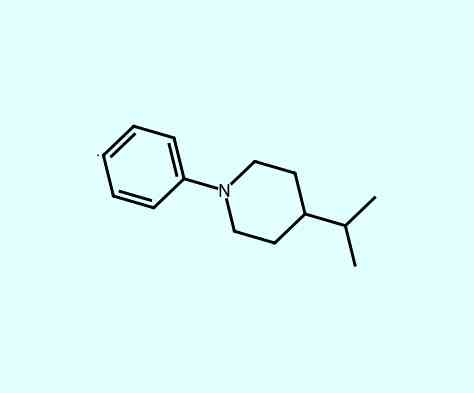 CC(C)C1CCN(c2cc[c]cc2)CC1